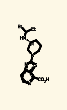 CCC(CC)N[C@@H]1CCCN(c2nc3ccnc(C(=O)O)c3s2)C1